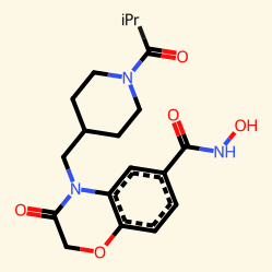 CC(C)C(=O)N1CCC(CN2C(=O)COc3ccc(C(=O)NO)cc32)CC1